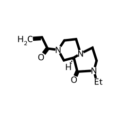 C=CC(=O)N1CCN2CCN(CC)C(=O)[C@H]2C1